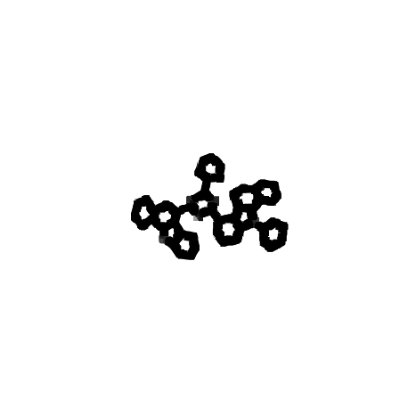 c1ccc(-c2nc(-c3cc4ccccc4c4oc5ccccc5c34)nc(-c3cccc4c3c3ccc5ccccc5c3n4-c3ccccc3)n2)cc1